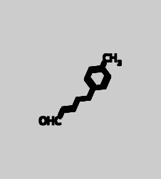 Cc1ccc(CCC=CC=O)cc1